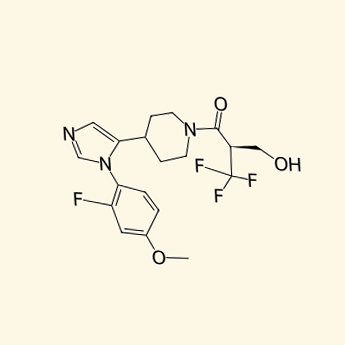 COc1ccc(-n2cncc2C2CCN(C(=O)[C@@H](CO)C(F)(F)F)CC2)c(F)c1